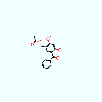 COc1cc(O)c(C(=O)c2ccccc2)cc1COC(C)=O